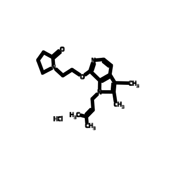 CC(C)=CCn1c(C)c(C)c2ccnc(OCCN3CCCC3=O)c21.Cl